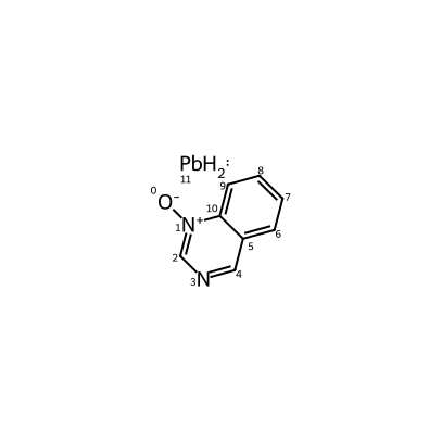 [O-][n+]1cncc2ccccc21.[PbH2]